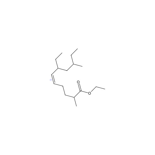 CCOC(=O)C(C)CC/C=C\C(CC)CC(C)CC